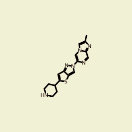 Cc1cn2cc(-n3cc4sc(C5CCNCC5)cc4n3)ncc2n1